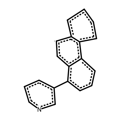 [c]1cc2c(-c3cccnc3)cccc2c2ccccc12